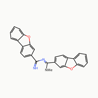 CN/C(=N\C(=N)c1ccc2c(c1)oc1ccccc12)c1ccc2c(c1)oc1ccccc12